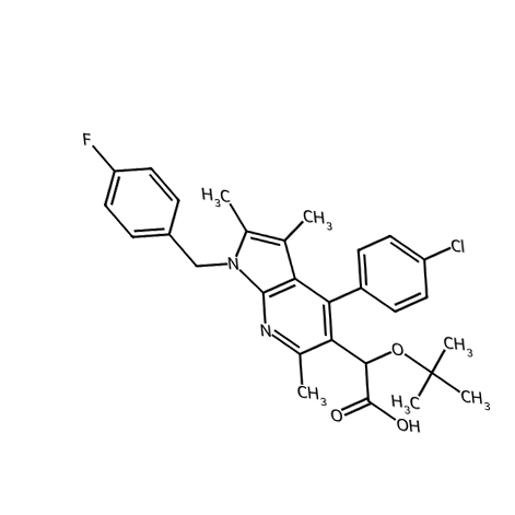 Cc1nc2c(c(C)c(C)n2Cc2ccc(F)cc2)c(-c2ccc(Cl)cc2)c1C(OC(C)(C)C)C(=O)O